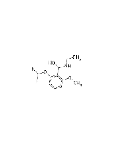 CCNC(O)c1c(OC)cccc1OC(F)F